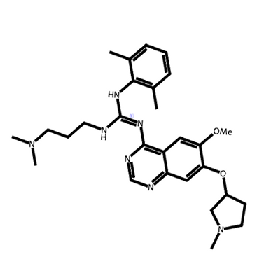 COc1cc2c(/N=C(\NCCCN(C)C)Nc3c(C)cccc3C)ncnc2cc1OC1CCN(C)C1